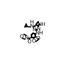 O=C(c1ccc(Nc2nc(NCC3CC3)c3cc[nH]c3n2)c2c1OCCO2)N1CCOCC1